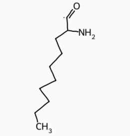 CCCCCCCCC(N)[C]=O